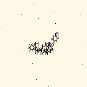 O=C(NCc1ccc(Cl)cc1)Nc1[nH]nc2c1CN(C(=O)Nc1ccccc1)C2